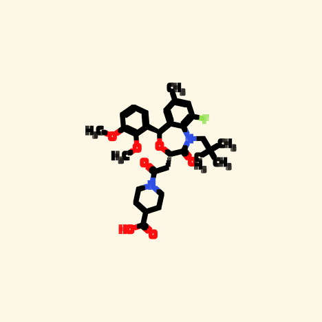 COc1cccc([C@@H]2O[C@@H](CC(=O)N3CCC(C(=O)O)CC3)C(=O)N(CC(C)(C)C)c3c(F)cc(C)cc32)c1OC